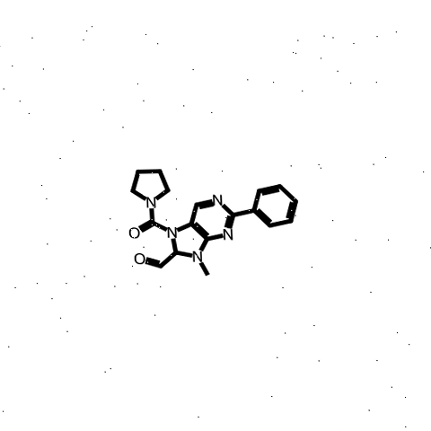 CN1c2nc(-c3ccccc3)ncc2N(C(=O)N2CCCC2)C1C=O